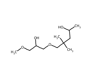 COCC(O)COCC(C)(C)CC(C)O